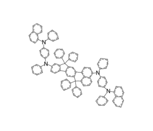 c1ccc(N(c2ccc(N(c3ccccc3)c3cccc4ccccc34)cc2)c2ccc3c(c2)C(c2ccccc2)(c2ccccc2)c2cc4c(cc2-3)C(c2ccccc2)(c2ccccc2)c2cccc3c(N(c5ccccc5)c5ccc(N(c6ccccc6)c6cccc7ccccc67)cc5)ccc-4c23)cc1